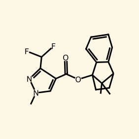 Cn1cc(C(=O)OC23CCC(c4ccccc42)C3(C)C)c(C(F)F)n1